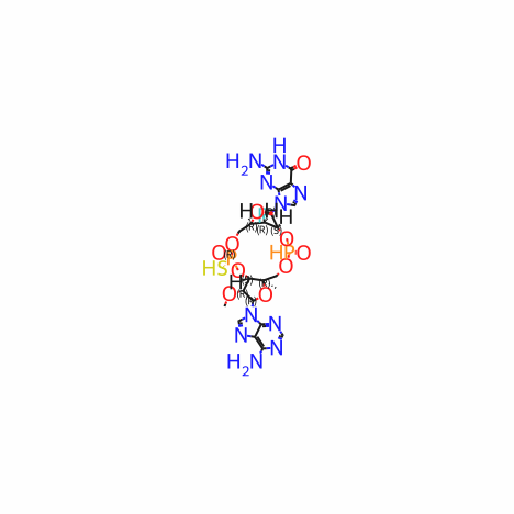 CO[C@H]1[C@H](n2cnc3c(N)ncnc32)O[C@]2(C)CO[PH](=O)O[C@@H]3[C@H](F)[C@@H](CO[P@@](=O)(S)O[C@@H]12)O[C@H]3n1cnc2c(=O)[nH]c(N)nc21